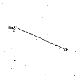 C#CC#CC#CC#CC#CC#CC#CC#CC#CC#CC#CC#COC(=O)C(C)CC